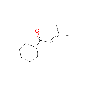 CC(C)=CC(=O)C1CCCCC1